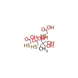 CCC(CO)(CO)CO.O=C(O)CS.O=C(O)CS.O=C(O)CS